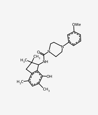 COc1cccc(N2CCN(C(=O)NC3c4c(O)c(C)cc(C)c4CC3(C)C)CC2)c1